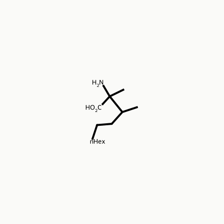 CCCCCCCCC(C)C(C)(N)C(=O)O